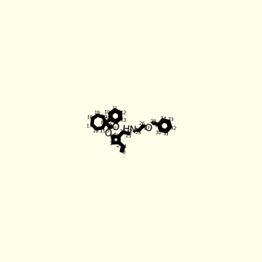 C=CC1C[C@H](OC(=O)C2(c3ccccc3)CCCCCC2)C1CCNCCOCc1ccccc1